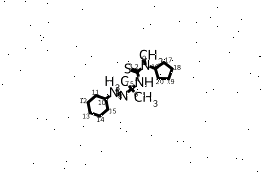 CN(C(=S)NC(C)(C)/N=N/C1CCCCC1)C1CCCC1